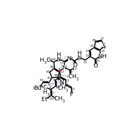 C=C(I)N(CC(/C=C/C(C)=C(\C)CC)=C/C=C/F)/C(=N\C(=O)NCc1cc2ccsc2[nH]c1=O)NC(C)C1=C/C(=N/C)C(C=CC(C)CC)C1